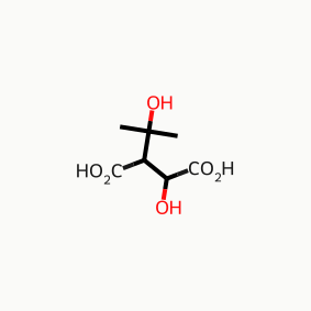 CC(C)(O)C(C(=O)O)C(O)C(=O)O